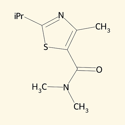 Cc1nc(C(C)C)sc1C(=O)N(C)C